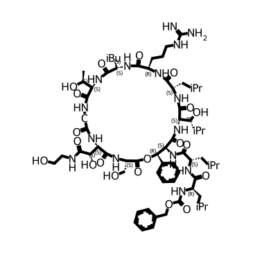 CC[C@H](C)[C@@H]1NC(=O)[C@@H](CCCNC(=N)N)NC(=O)[C@H](CC(C)C)NC(=O)[C@H]([C@H](O)C(C)C)NC(=O)[C@@H](NC(=O)[C@H](CC(C)C)NC(=O)[C@@H](CC(C)C)NC(=O)OCc2ccccc2)[C@@H](c2ccccc2)OC(=O)[C@H](CO)NC(=O)[C@H]([C@H](O)C(=O)NCCO)NC(=O)CNC(=O)[C@H]([C@H](C)O)NC1=O